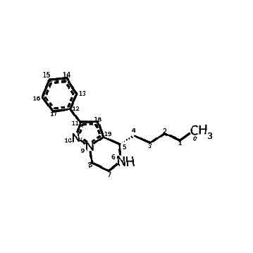 CCCCC[C@@H]1NCCn2nc(-c3ccccc3)cc21